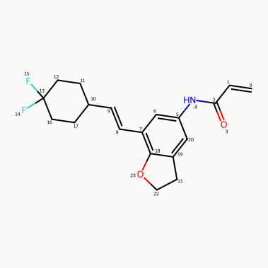 C=CC(=O)Nc1cc(C=CC2CCC(F)(F)CC2)c2c(c1)CCO2